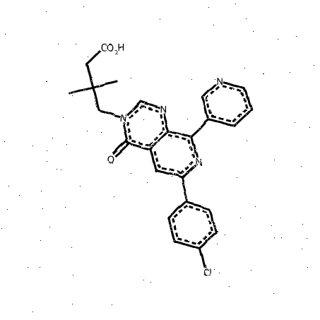 CC(C)(CC(=O)O)Cn1cnc2c(-c3cccnc3)nc(-c3ccc(Cl)cc3)cc2c1=O